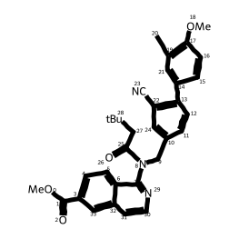 COC(=O)c1ccc2c(N(Cc3ccc(-c4ccc(OC)c(C)c4)c(C#N)c3)C(=O)CC(C)(C)C)nccc2c1